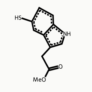 COC(=O)Cc1c[nH]c2ccc(S)cc12